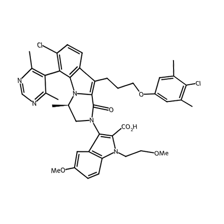 COCCn1c(C(=O)O)c(N2C[C@@H](C)n3c(c(CCCOc4cc(C)c(Cl)c(C)c4)c4ccc(Cl)c(-c5c(C)ncnc5C)c43)C2=O)c2cc(OC)ccc21